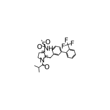 CC(C)C(=O)N1CC[C@@H](NS(C)(=O)=O)[C@H]1Cc1cccc(-c2ccccc2C(F)(F)F)c1